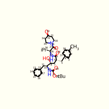 Cc1ccc(C[C@H](C[C@H](O)[C@H](Cc2ccccc2)NC(=O)OC(C)(C)C)C(=O)N[C@H](C(=O)N2CCC(=O)CC2)C(C)C)cc1